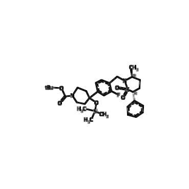 C[C@H]1CC[C@H](c2ccccc2)S(=O)(=O)N1Cc1ccc(C2(O[Si](C)(C)C)CCN(C(=O)OC(C)(C)C)CC2)cc1F